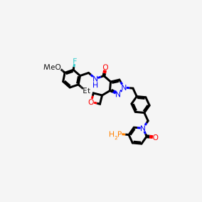 CCc1ccc(OC)c(F)c1CNC(=O)c1cn(Cc2ccc(Cn3cc(P)ccc3=O)cc2)nc1C1COC1